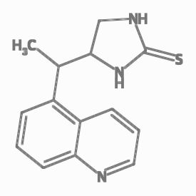 CC(c1cccc2ncccc12)C1CNC(=S)N1